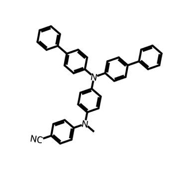 CN(c1ccc(C#N)cc1)c1ccc(N(c2ccc(-c3ccccc3)cc2)c2ccc(-c3ccccc3)cc2)cc1